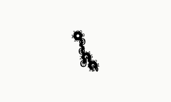 O=c1cc(OCCOc2ccccc2)ccn1-c1ccncc1